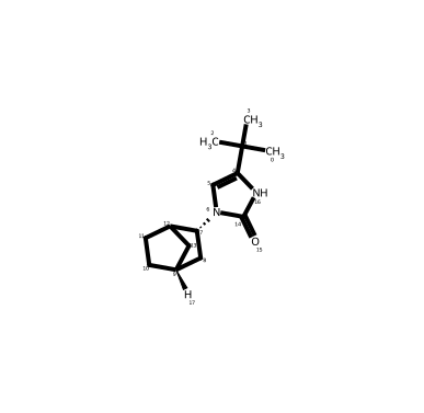 CC(C)(C)c1cn([C@@H]2C[C@@H]3CCC2C3)c(=O)[nH]1